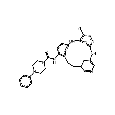 O=C(Nc1ccc2cc1CCC1C=NC=C(C1)Nc1ncc(Cl)c(n1)N2)N1CCN(c2ccccc2)CC1